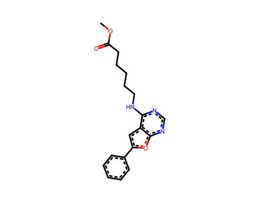 COC(=O)CCCCCNc1ncnc2oc(-c3ccccc3)cc12